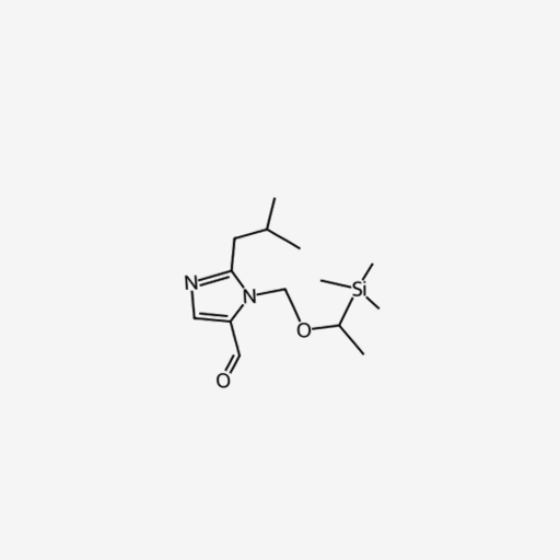 CC(C)Cc1ncc(C=O)n1COC(C)[Si](C)(C)C